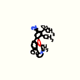 Cc1ccc2c(oc3c(C)c(C(C)C)c(C#N)cc32)c1-c1cccc[n+]1C